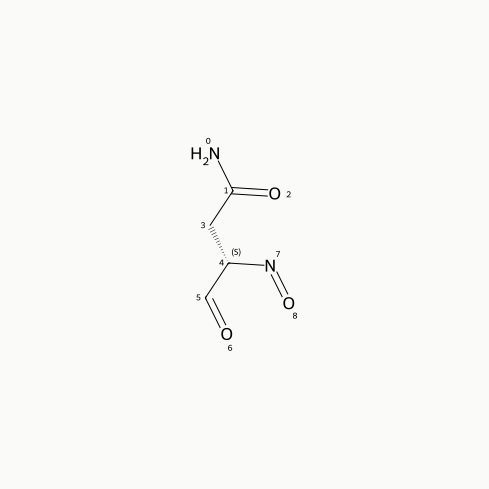 NC(=O)C[C@@H](C=O)N=O